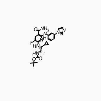 C[C@H](NC(=O)OC(C)(C)C)[C@H](Nc1nc(Nc2cccc(-n3ccnn3)c2)c(C(N)=O)cc1F)C1CC1